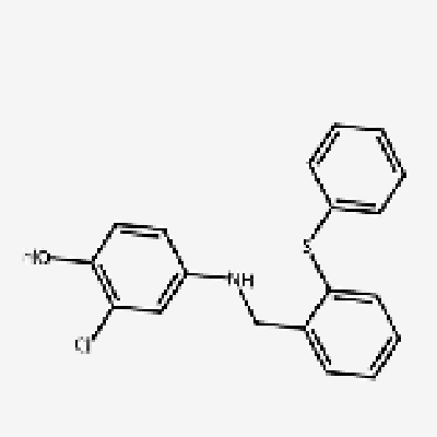 Oc1ccc(NCc2ccccc2Sc2ccccc2)cc1Cl